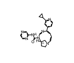 O=C(Nc1cnccn1)N1C=NC(c2ccnc(C3CC3)c2)=CC=CN2CC[C@H]1C2